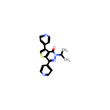 CC(C)n1nc(-c2ccncc2)c2scc(-c3ccncc3)c2c1=O